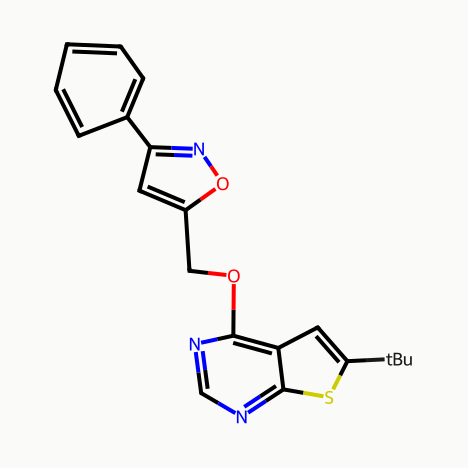 CC(C)(C)c1cc2c(OCc3cc(-c4ccccc4)no3)ncnc2s1